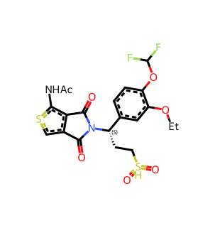 CCOc1cc([C@H](CC[SH](=O)=O)N2C(=O)c3csc(NC(C)=O)c3C2=O)ccc1OC(F)F